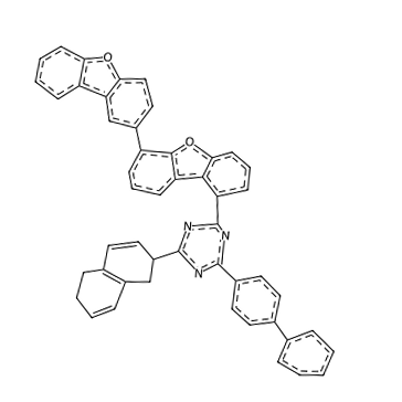 C1=CC2=C(C=CC(c3nc(-c4ccc(-c5ccccc5)cc4)nc(-c4cccc5oc6c(-c7ccc8oc9ccccc9c8c7)cccc6c45)n3)C2)CC1